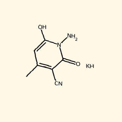 Cc1cc(O)n(N)c(=O)c1C#N.[KH]